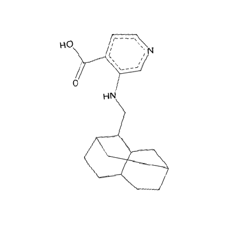 O=C(O)c1ccncc1NCC1C2CCC3CCC(C2)CC31